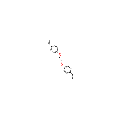 C=Cc1ccc(OCCOc2ccc(C=C)cc2)cc1